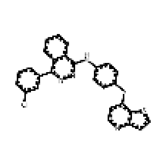 Clc1cccc(-c2nnc(Nc3ccc(Sc4ccnc5ccsc45)cc3)c3ccccc23)c1